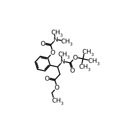 CCOC(=O)CC(c1ccccc1OC(=O)N(C)C)N(C)C(=O)OC(C)(C)C